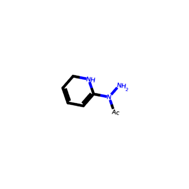 CC(=O)N(N)C1=CC=CCN1